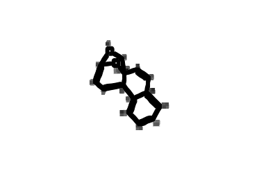 C1=CC23COC(=CC=C2c2ccccc21)O3